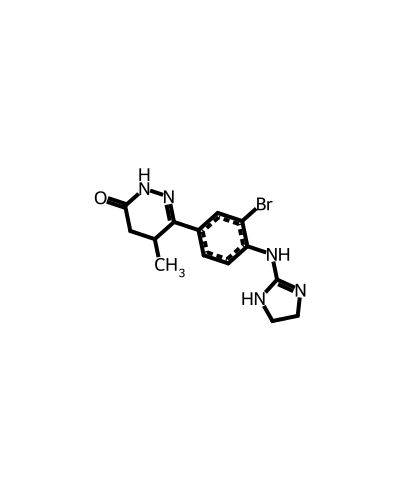 CC1CC(=O)NN=C1c1ccc(NC2=NCCN2)c(Br)c1